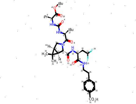 CC(C)[C@H](NC(=O)N[C@H](C(=O)N1C[C@H]2[C@@H]([C@H]1C(=O)N[C@@H](CC(F)F)C(=O)NCCc1ccc(C(=O)O)cc1)C2(C)C)C(C)(C)C)C(=O)OC(C)(C)C